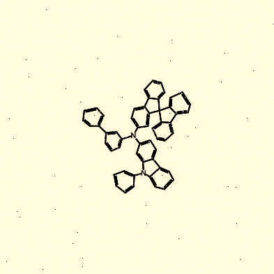 c1ccc(-c2cccc(N(c3ccc4c(c3)C3(c5ccccc5-c5ccccc53)c3ccccc3-4)c3ccc4c5ccccc5n(-c5ccccc5)c4c3)c2)cc1